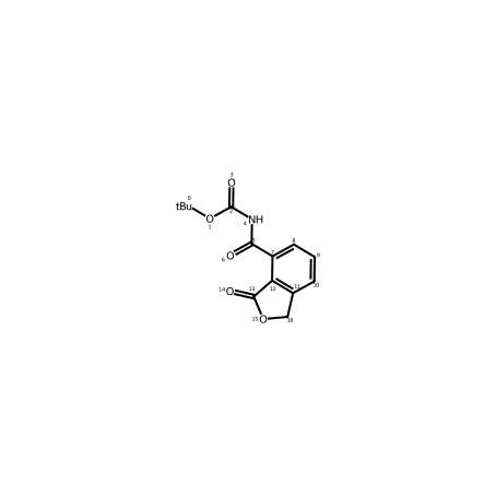 CC(C)(C)OC(=O)NC(=O)c1cccc2c1C(=O)OC2